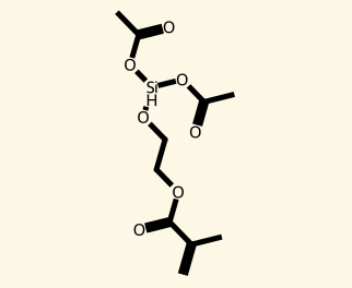 C=C(C)C(=O)OCCO[SiH](OC(C)=O)OC(C)=O